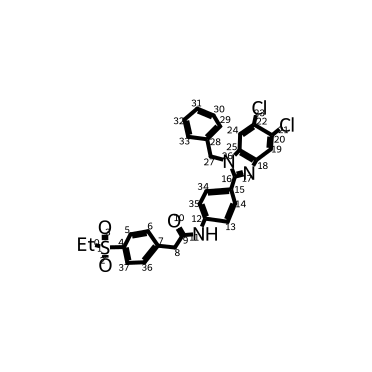 CCS(=O)(=O)c1ccc(CC(=O)Nc2ccc(-c3nc4cc(Cl)c(Cl)cc4n3Cc3ccccc3)cc2)cc1